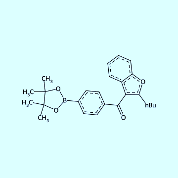 CCCCc1oc2ccccc2c1C(=O)c1ccc(B2OC(C)(C)C(C)(C)O2)cc1